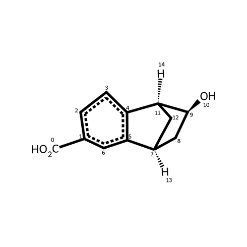 O=C(O)c1ccc2c(c1)[C@@H]1C[C@H](O)[C@H]2C1